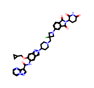 O=C1CCC(N2C(=O)c3ccc(N4CC(F)(CN5CCC(n6cc7cc(NC(=O)c8cnn9cccnc89)c(OCC8CC8)cc7n6)CC5)C4)cc3C2=O)C(=O)N1